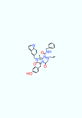 C=CCN1CC(=O)N2C([C@H](C)N(Cc3ccc4ncccc4c3)C(=O)[C@@H]2Cc2ccc(O)cc2)N1C(=O)NCc1ccccc1